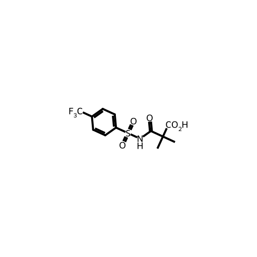 CC(C)(C(=O)O)C(=O)NS(=O)(=O)c1ccc(C(F)(F)F)cc1